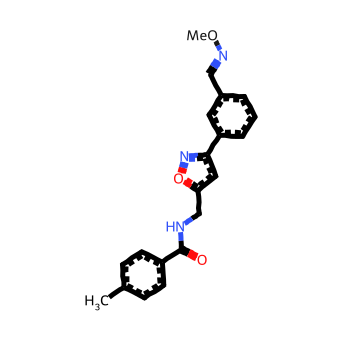 CON=Cc1cccc(-c2cc(CNC(=O)c3ccc(C)cc3)on2)c1